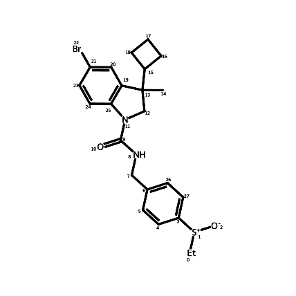 CC[S+]([O-])c1ccc(CNC(=O)N2CC(C)(C3CCC3)c3cc(Br)ccc32)cc1